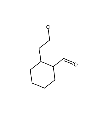 O=CC1CCCCC1CCCl